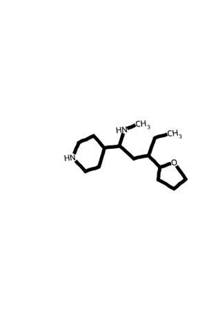 CCC(CC(NC)C1CCNCC1)C1CCCO1